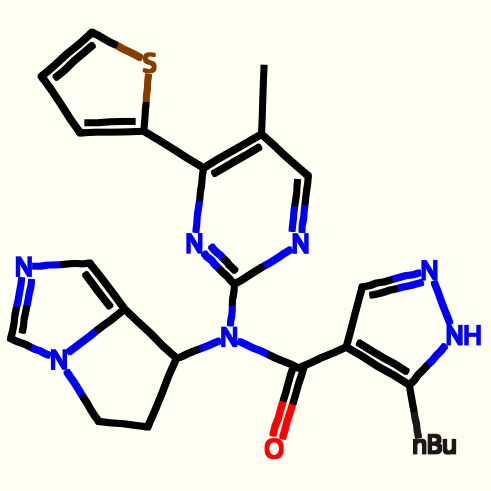 CCCCc1[nH]ncc1C(=O)N(c1ncc(C)c(-c2cccs2)n1)C1CCn2cncc21